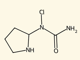 NC(=O)N(Cl)C1CCCN1